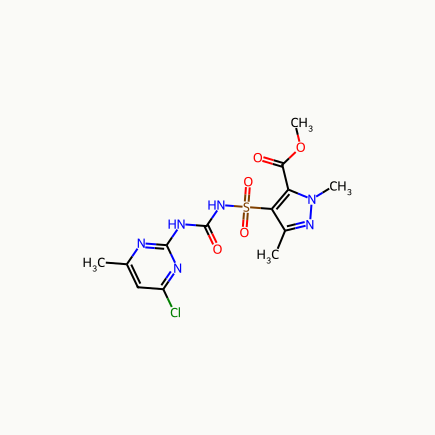 COC(=O)c1c(S(=O)(=O)NC(=O)Nc2nc(C)cc(Cl)n2)c(C)nn1C